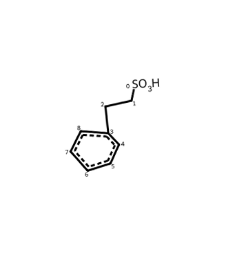 O=S(=O)(O)CCc1ccccc1